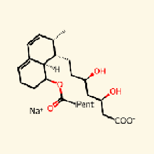 CCCC(C)C(=O)O[C@H]1CCC=C2C=C[C@H](C)[C@H](CC[C@@H](O)C[C@@H](O)CC(=O)[O-])[C@H]21.[Na+]